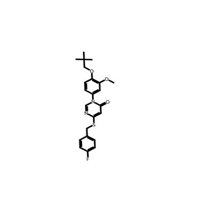 COc1cc(-n2cnc(SCc3ccc(F)cc3)cc2=O)ccc1OCC(C)(C)C